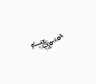 CC(C)[C@H](NC(=O)CCCCCN1C(=O)C=CC1=O)C(=O)NC(=O)[C@H](CCCN)N(C(N)=O)c1ccc(COC(=O)Oc2ccc([N+](=O)[O-])cc2)cc1